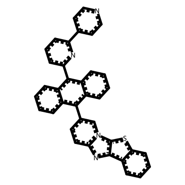 c1cc(-c2ccncc2)nc(-c2c3ccccc3c(-c3ccc4nc5c6ccccc6sc5n4c3)c3ccccc23)c1